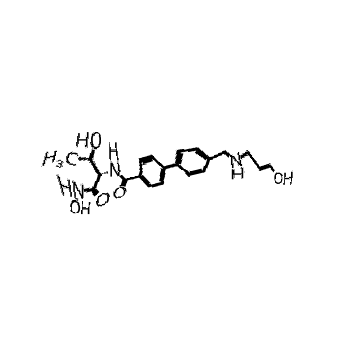 C[C@@H](O)[C@H](NC(=O)c1ccc(-c2ccc(CNCCCO)cc2)cc1)C(=O)NO